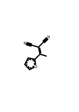 CC(=C(C#N)C#N)c1ccco1